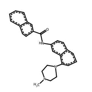 CN1CCN(c2cccc3ccc(NC(=O)c4ccc5ccccc5c4)cc23)CC1